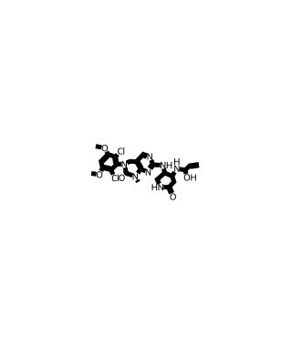 C=CC(O)NC1CC(=O)NCC1Nc1ncc2c(n1)N(C)C(=O)N(c1c(Cl)c(OC)cc(OC)c1Cl)C2